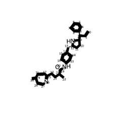 C=C[C@H](c1ccccc1)C1CC[C@H](Cc2ccc(NC(=O)C(C)CCC3=NC=CC(=C)C=C3)cc2)N1